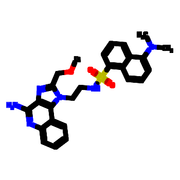 CCOCc1nc2c(N)nc3ccccc3c2n1CCNS(=O)(=O)c1cccc2c(N(C)C)cccc12